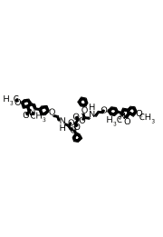 COc1ccc2cc(-c3ccc(OCCCNCC(COc4ccccc4)OC(=O)C(=O)OC(CNCCCOc4ccc(-c5cc6ccc(OC)cc6c(=O)n5C)cc4)COc4ccccc4)cc3)n(C)c(=O)c2c1